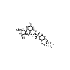 CC1(C)CCc2cc(S(=O)(=O)N(CC(=O)O)Cc3cc(F)cc(-c4cc(Cl)cc(Cl)c4)c3)ccc2O1